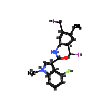 Cc1cc(CI)c(NC(=O)c2cn(C)c3cccc(F)c23)cc1CI